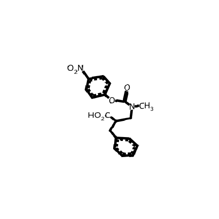 CN(CC(Cc1ccccc1)C(=O)O)C(=O)Oc1ccc([N+](=O)[O-])cc1